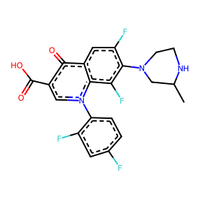 CC1CN(c2c(F)cc3c(=O)c(C(=O)O)cn(-c4ccc(F)cc4F)c3c2F)CCN1